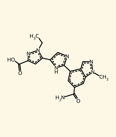 CCn1nc(C(=O)O)cc1-c1cnc(-c2cc(C(N)=O)cc3c2cnn3C)[nH]1